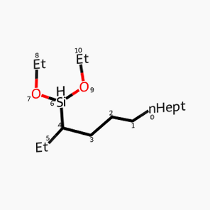 CCCCCCCCCCC(CC)[SiH](OCC)OCC